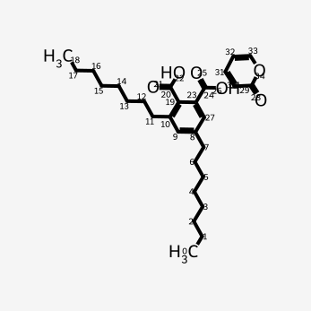 CCCCCCCCc1cc(CCCCCCCC)c(C(=O)O)c(C(=O)O)c1.O=c1cccco1